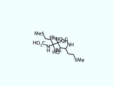 CSCCC(NC(=O)O)C(O)C(O)(C(C)(C)C)C(CCSC)(NC(=O)O)C(C)(C)C